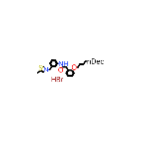 Br.CCCCCCCCCCCCCCOc1ccccc1CC(=O)Nc1cccc(CN2C=C(C)SC2)c1